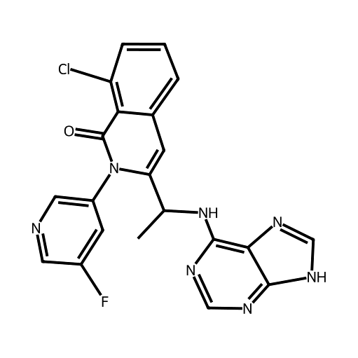 CC(Nc1ncnc2[nH]cnc12)c1cc2cccc(Cl)c2c(=O)n1-c1cncc(F)c1